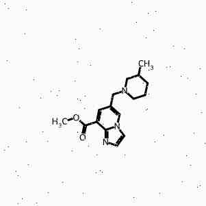 COC(=O)c1cc(CN2CCCC(C)C2)cn2ccnc12